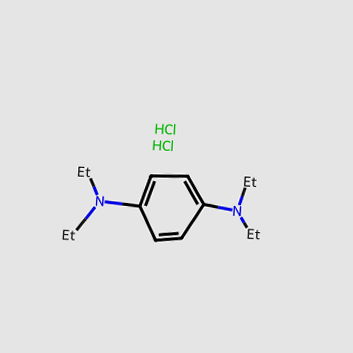 CCN(CC)c1ccc(N(CC)CC)cc1.Cl.Cl